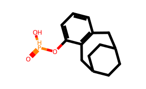 O=[PH](O)Oc1cccc2c1CC1CCC(CC1)C2